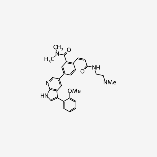 CNCCNC(=O)/C=C\c1ccc(-c2cnc3[nH]cc(-c4ccccc4OC)c3c2)cc1C(=O)N(C)C